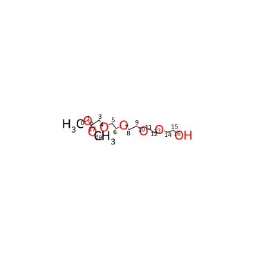 COC(COCCOCCOCCOCCO)OC